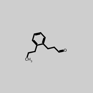 CCCc1ccccc1CCC=O